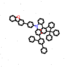 c1ccc(-c2ccc(-c3ccc(N(c4ccc(-c5ccc6c(c5)oc5ccccc56)cc4)c4ccccc4-c4cccc5c4-c4ccccc4C5(c4ccccc4)c4ccccc4)cc3)c(-c3ccccc3)c2)cc1